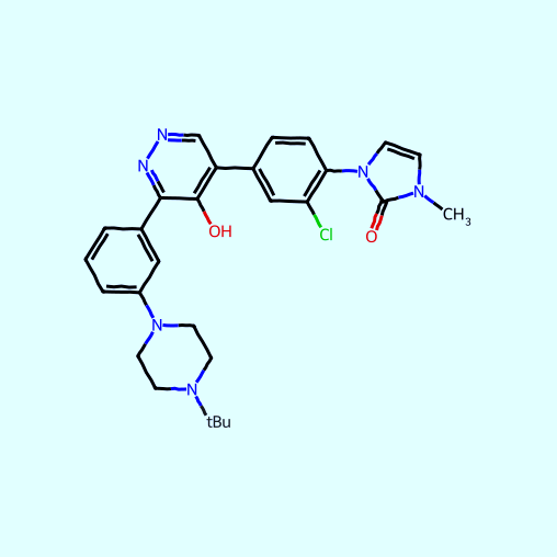 Cn1ccn(-c2ccc(-c3cnnc(-c4cccc(N5CCN(C(C)(C)C)CC5)c4)c3O)cc2Cl)c1=O